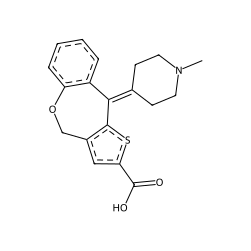 CN1CCC(=C2c3ccccc3OCc3cc(C(=O)O)sc32)CC1